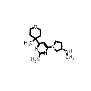 CN[C@@H]1CCN(c2cc(C3(C)CCOCC3)nc(N)n2)C1